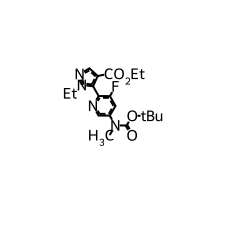 CCOC(=O)c1cnn(CC)c1-c1ncc(N(C)C(=O)OC(C)(C)C)cc1F